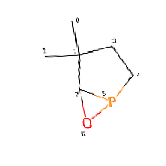 CC1(C)CCP2OC21